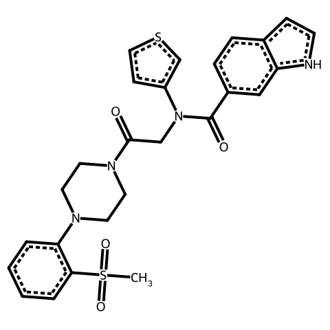 CS(=O)(=O)c1ccccc1N1CCN(C(=O)CN(C(=O)c2ccc3cc[nH]c3c2)c2ccsc2)CC1